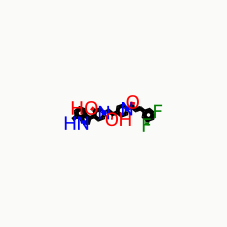 Cc1cccc2c(C3CCN(C[C@H](O)C4CCN(C(=O)/C=C/c5cc(F)cc(F)c5)CC4)CC3O)c[nH]c12